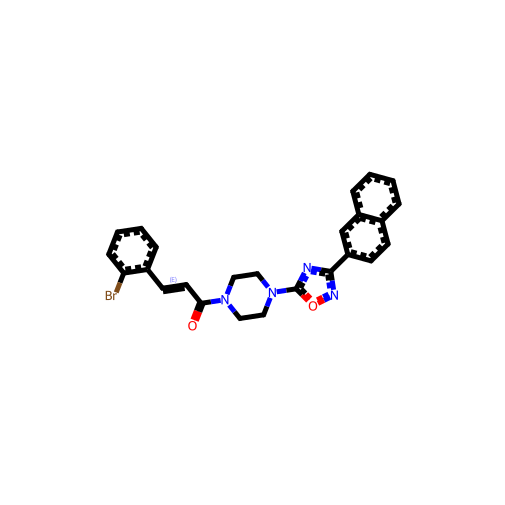 O=C(/C=C/c1ccccc1Br)N1CCN(c2nc(-c3ccc4ccccc4c3)no2)CC1